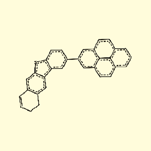 C1=Cc2cc3sc4ccc(-c5cc6ccc7cccc8ccc(c5)c6c78)cc4c3cc2CC1